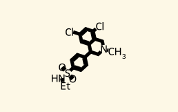 CCNS(=O)(=O)c1ccc(C2CN(C)Cc3c(Cl)cc(Cl)cc32)cc1